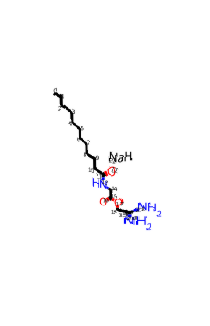 CCCCCCCCCCCC(=O)NCC(=O)OCC(N)N.[NaH]